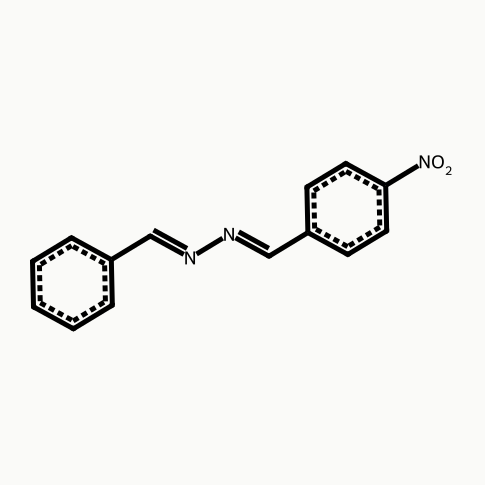 O=[N+]([O-])c1ccc(C=NN=Cc2ccccc2)cc1